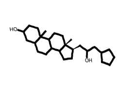 CC12CCC(O)CC1CCC1C2CC[C@@]2(C)C1CC[C@@H]2CC(O)CC1CCCC1